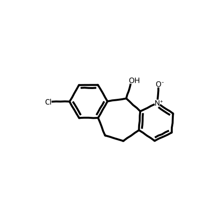 [O-][n+]1cccc2c1C(O)c1ccc(Cl)cc1CC2